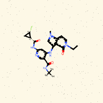 [2H]C([2H])([2H])NC(=O)c1cnc(NC(=O)[C@@H]2C[C@@H]2F)cc1Nc1cn(C)c2ccn(CC)c(=O)c12